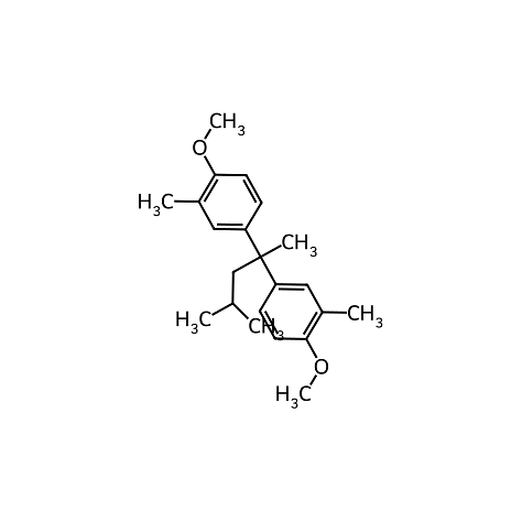 COc1ccc(C(C)(CC(C)C)c2ccc(OC)c(C)c2)cc1C